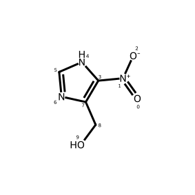 O=[N+]([O-])c1[nH]cnc1CO